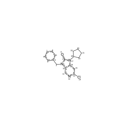 O=c1n(Cc2ccccc2)c2cnc(Cl)cc2n1C1CCCC1